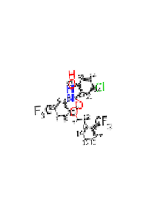 O=C(Nc1cc(C(F)(F)F)ccc1OCCc1ccccc1C(F)(F)F)c1cc(Cl)ccc1O